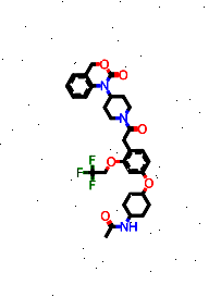 CC(=O)NC1CCC(Oc2ccc(CC(=O)N3CCC(N4C(=O)OCc5ccccc54)CC3)c(OCC(F)(F)F)c2)CC1